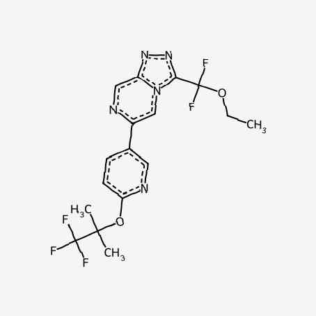 CCOC(F)(F)c1nnc2cnc(-c3ccc(OC(C)(C)C(F)(F)F)nc3)cn12